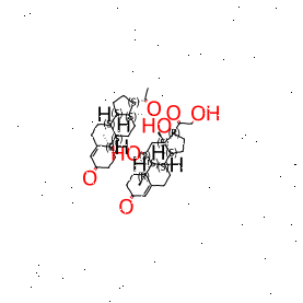 CC(=O)[C@H]1CC[C@H]2[C@@H]3CCC4=CC(=O)CC[C@]4(C)[C@H]3CC[C@]12C.C[C@]12CCC(=O)C=C1CC[C@@H]1[C@@H]2[C@@H](O)C[C@@]2(C)[C@H]1CC[C@]2(O)C(=O)CO